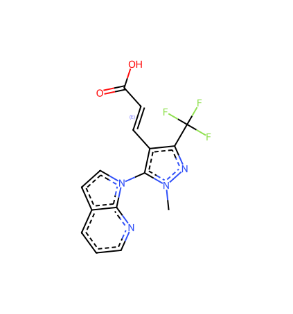 Cn1nc(C(F)(F)F)c(/C=C/C(=O)O)c1-n1ccc2cccnc21